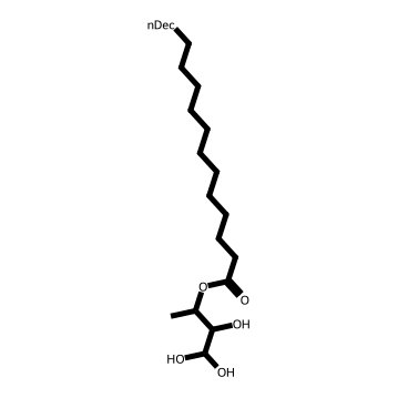 CCCCCCCCCCCCCCCCCCCCCC(=O)OC(C)C(O)C(O)O